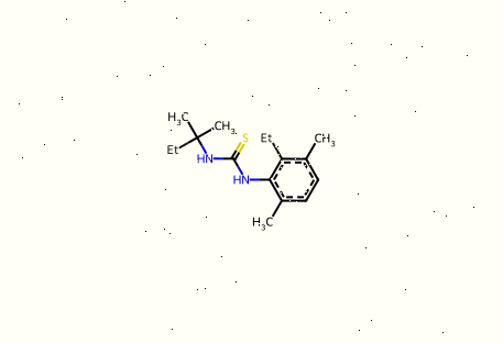 CCc1c(C)ccc(C)c1NC(=S)NC(C)(C)CC